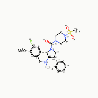 COc1cc(CN(C)[C@H]2CN(C(=O)N3CCN(S(C)(=O)=O)CC3)C[C@@H]2c2ccccc2)ccc1F